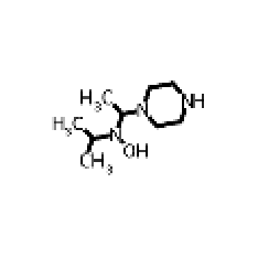 CC(C)N(O)C(C)N1CCNCC1